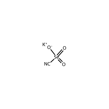 N#C[Se](=O)(=O)[O-].[K+]